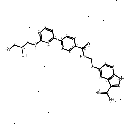 N=C(N)c1c[nH]c2ccc(CCNC(=O)c3ccc(-c4ccnc(NCC(O)CO)n4)cc3)cc12